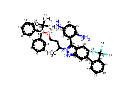 CC(CCO[Si](c1ccccc1)(c1ccccc1)C(C)(C)C)n1nc2cc(-c3ccccc3C(F)(F)F)ccc2c1-c1cc(N)ccc1N